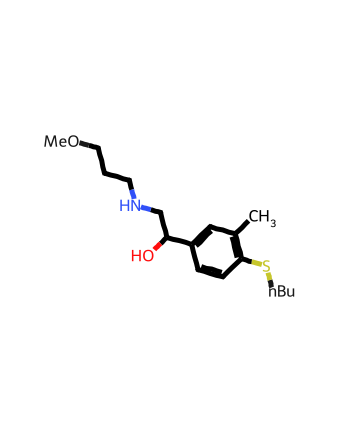 CCCCSc1ccc(C(O)CNCCCOC)cc1C